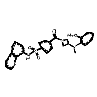 COc1ccccc1N(C)C1CN(C(=O)c2ccc(S(=O)(=O)Nc3cccc4cccnc34)cc2)C1